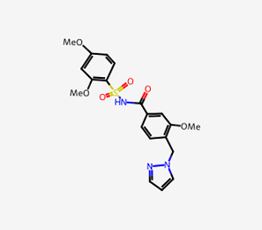 COc1ccc(S(=O)(=O)NC(=O)c2ccc(Cn3cccn3)c(OC)c2)c(OC)c1